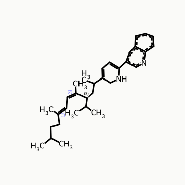 C/C(=C/C=C(\C)CCC(C)C)[C@@H](CC(C)C1=CC=C(c2cnc3ccccc3c2)NC1)C(C)C